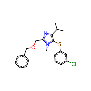 CC(C)c1nc(COCc2ccccc2)n(C)c1Sc1cccc(Cl)c1